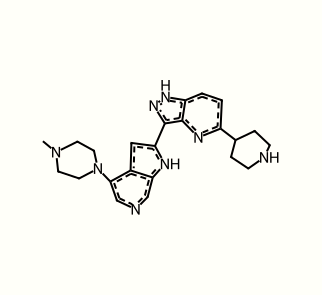 CN1CCN(c2cncc3[nH]c(-c4n[nH]c5ccc(C6CCNCC6)nc45)cc23)CC1